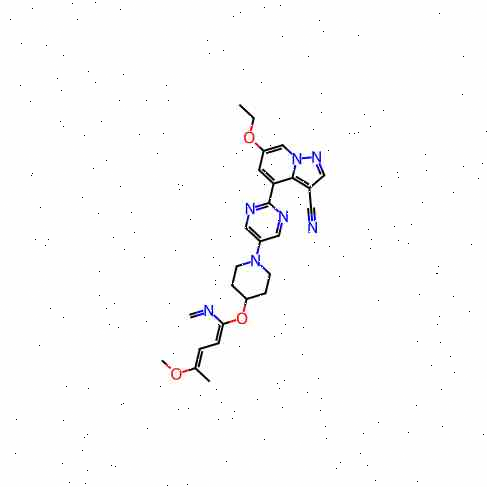 C=N/C(=C\C=C(/C)OC)OC1CCN(c2cnc(-c3cc(OCC)cn4ncc(C#N)c34)nc2)CC1